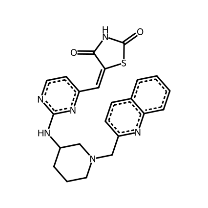 O=C1NC(=O)C(=Cc2ccnc(NC3CCCN(Cc4ccc5ccccc5n4)C3)n2)S1